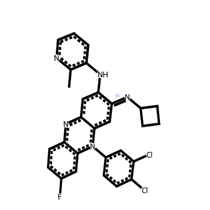 Cc1ncccc1Nc1cc2nc3ccc(F)cc3n(-c3ccc(Cl)c(Cl)c3)c-2c/c1=N\C1CCC1